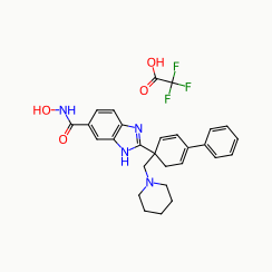 O=C(NO)c1ccc2nc(C3(CN4CCCCC4)C=CC(c4ccccc4)=CC3)[nH]c2c1.O=C(O)C(F)(F)F